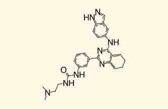 CN(C)CCNC(=O)Nc1cccc(-c2nc(Nc3ccc4[nH]ncc4c3)c3c(n2)=CCCC=3)c1